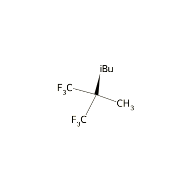 CC[C@H](C)C(C)(C(F)(F)F)C(F)(F)F